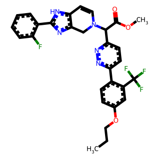 CCCOc1ccc(-c2ccc(C(C(=O)OC)N3C=Cc4[nH]c(-c5ccccc5F)nc4C3)nn2)c(C(F)(F)F)c1